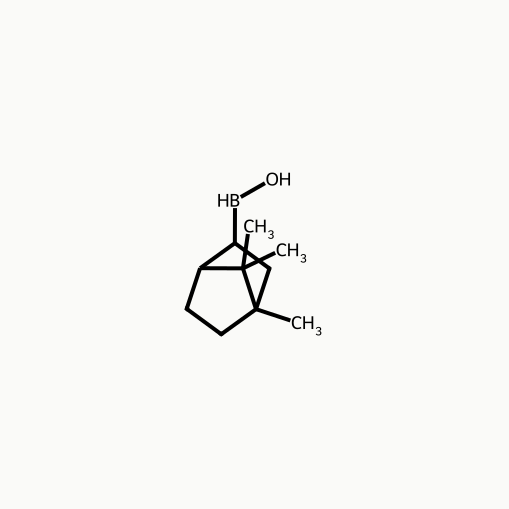 CC12CCC(C(BO)C1)C2(C)C